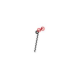 CCCCCCCCCCCCCCCc1cccc(OCC2CO2)c1